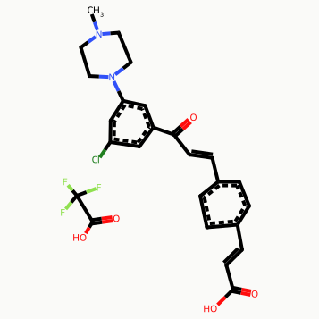 CN1CCN(c2cc(Cl)cc(C(=O)C=Cc3ccc(C=CC(=O)O)cc3)c2)CC1.O=C(O)C(F)(F)F